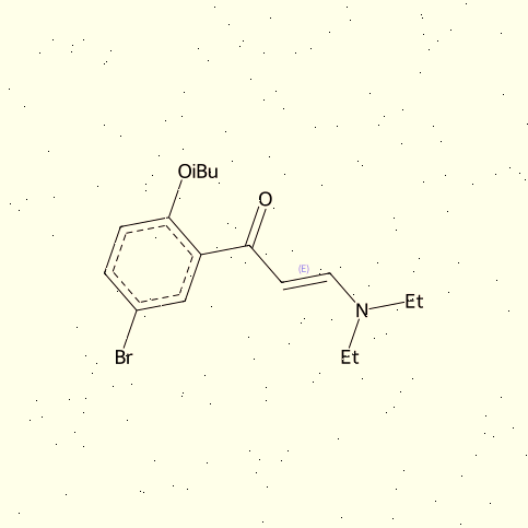 CCN(/C=C/C(=O)c1cc(Br)ccc1OCC(C)C)CC